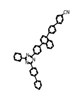 N#Cc1ccc(-c2ccc(-c3ccc(-c4ccc(-c5nc(-c6ccccc6)nc(-c6ccc(-c7ccccc7)cc6)n5)cc4)c4ccccc34)cc2)cc1